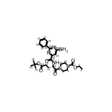 CCOC(=O)N1CCN(C(=O)[C@H](CCC(=O)OC(C)(C)C)NC(=O)c2cc(N)nc(-c3ccccc3)n2)CC1